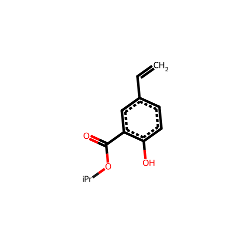 C=Cc1ccc(O)c(C(=O)OC(C)C)c1